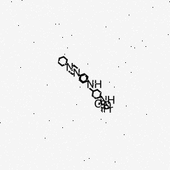 CC(C)S(=O)(=O)NC1CCC(CNc2ccc(N3CCN(C4CCCCC4)CC3)cc2)CC1